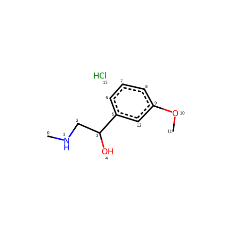 CNCC(O)c1cccc(OC)c1.Cl